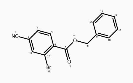 N#Cc1ccc(C(=O)OCc2ccccc2)c(Br)c1